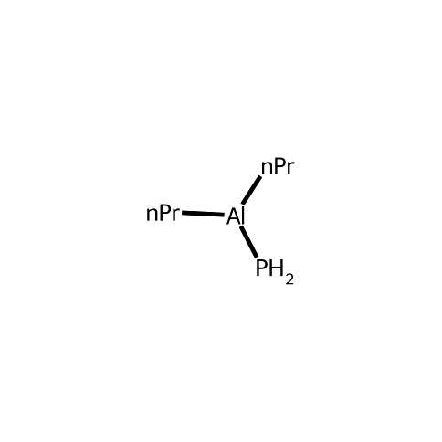 CC[CH2][Al]([PH2])[CH2]CC